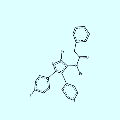 CCN(C(=O)Cc1ccccc1)c1c(-c2ccncc2)c(-c2ccc(F)cc2)nn1CC